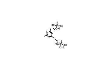 CC.CCC.Cc1cc(C)nc(C)n1.OP(O)(O)=S.OP(O)(O)=S